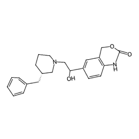 O=C1Nc2ccc(C(O)CN3CCC[C@@H](Cc4ccccc4)C3)cc2CO1